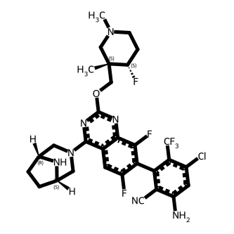 CN1CC[C@H](F)[C@](C)(COc2nc(N3C[C@H]4CC[C@@H](C3)N4)c3cc(F)c(-c4c(C#N)c(N)cc(Cl)c4C(F)(F)F)c(F)c3n2)C1